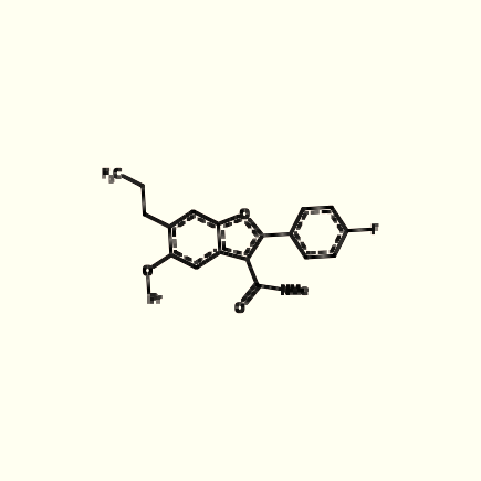 CNC(=O)c1c(-c2ccc(F)cc2)oc2cc(CCC(F)(F)F)c(OC(C)C)cc12